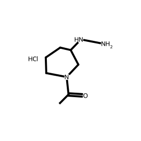 CC(=O)N1CCCC(NN)C1.Cl